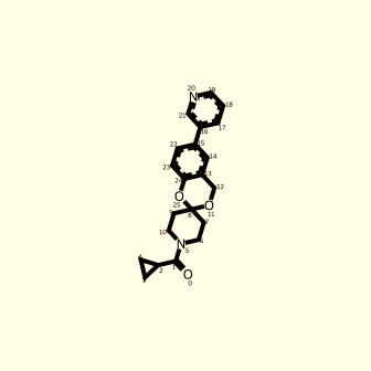 O=C(C1CC1)N1CCC2(CC1)OCc1cc(-c3cccnc3)ccc1O2